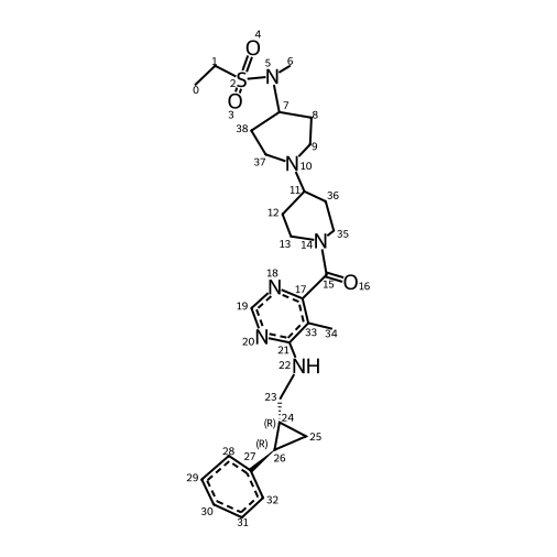 CCS(=O)(=O)N(C)C1CCN(C2CCN(C(=O)c3ncnc(NC[C@@H]4C[C@H]4c4ccccc4)c3C)CC2)CC1